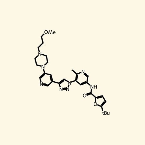 COCCCN1CCN(c2cncc(-c3cn(-c4cc(NC(=O)c5ccc(C(C)(C)C)o5)cnc4C)nn3)c2)CC1